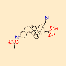 CC(=O)O/N=C1/C=C2CC[C@@H]3C(=C2CC1)CC[C@@]1(C)[C@H]3CC[C@]1(CC#N)CC(=O)O